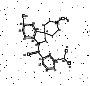 CN1CCC2(CC1)CN(C(=O)c1cccc(C(Cl)Cl)c1)c1ccc(F)cc12